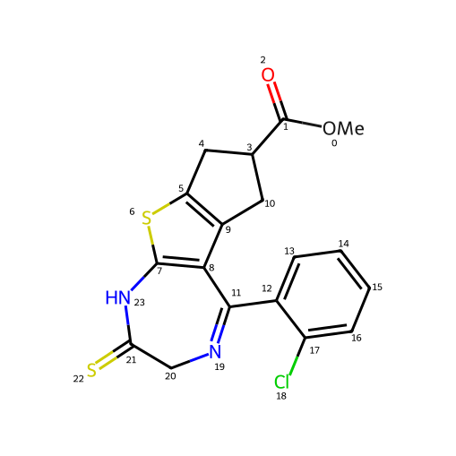 COC(=O)C1Cc2sc3c(c2C1)C(c1ccccc1Cl)=NCC(=S)N3